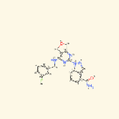 NC(=O)c1cccc2c1cnn2-c1nc2c(c(NCc3cccc(F)c3)n1)COC2